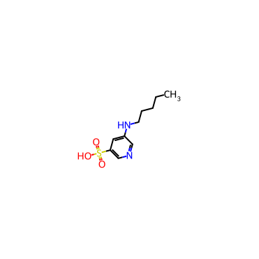 CCCCCNc1cncc(S(=O)(=O)O)c1